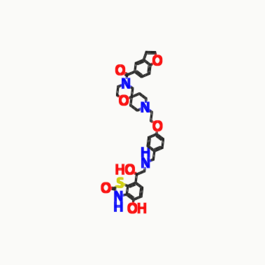 O=C(c1ccc2occc2c1)N1CCOC2(CCN(CCOc3ccc(CNC[C@H](O)c4ccc(O)c5[nH]c(=O)sc45)cc3)CC2)C1